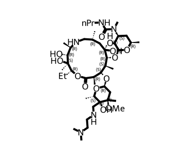 CCCNC(=O)N(C)[C@H]1C[C@@H](C)O[C@@H](O[C@@H]2[C@@H](C)[C@H](O[C@H]3C[C@@](C)(OC)[C@](O)(CNCCN(C)C)[C@H](C)O3)[C@@H](C)C(=O)O[C@H](CC)[C@@](C)(O)[C@H](O)[C@@H](C)NC[C@H](C)C[C@@]2(C)O)[C@@H]1O